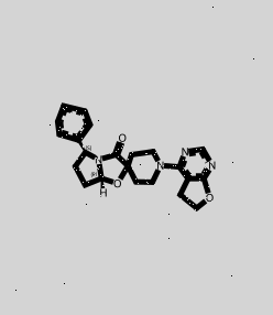 O=C1N2[C@@H](CC[C@H]2c2ccccc2)OC12CCN(c1ncnc3c1CCO3)CC2